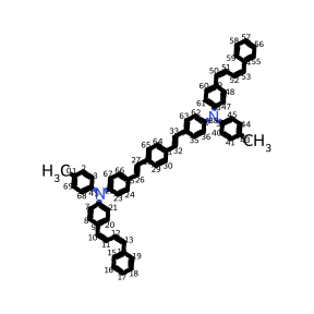 Cc1ccc(N(c2ccc(/C=C\C=C/c3ccccc3)cc2)c2ccc(/C=C/c3ccc(/C=C/c4ccc(N(c5ccc(C)cc5)c5ccc(/C=C\C=C/c6ccccc6)cc5)cc4)cc3)cc2)cc1